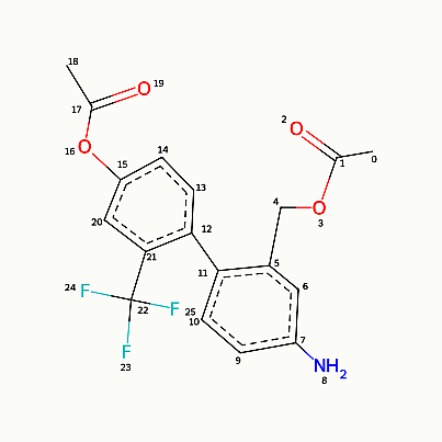 CC(=O)OCc1cc(N)ccc1-c1ccc(OC(C)=O)cc1C(F)(F)F